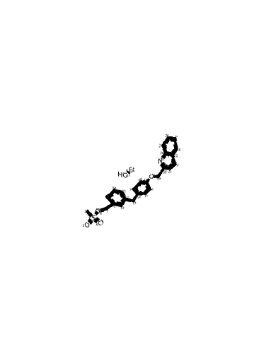 CCO.CS(=O)(=O)OCc1cccc(Cc2ccc(OCc3ccc4ccccc4n3)cc2)c1